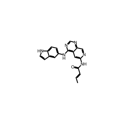 CC=CC(=O)Nc1cc2c(Nc3ccc4[nH]ccc4c3)ncnc2cn1